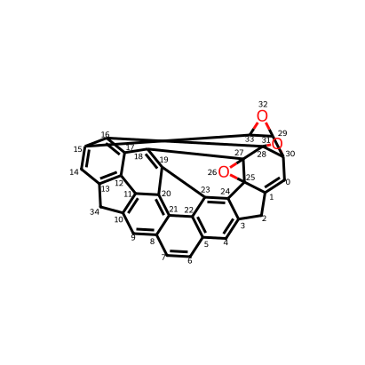 C1=C2Cc3cc4ccc5cc6c7c8c(cc9c%10c8c8c%11c7c5c4c-%11c3C23OC83C%102OC12C1OC91)C6